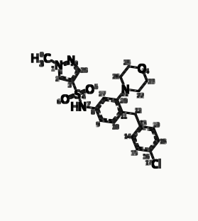 Cn1cc(S(=O)(=O)Nc2ccc(Cc3ccc(Cl)cc3)c(N3CCOCC3)c2)cn1